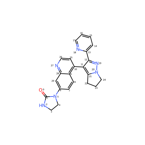 O=C1NCCN1c1ccc2c(-c3c(-c4ccccn4)nn4c3CCC4)ccnc2c1